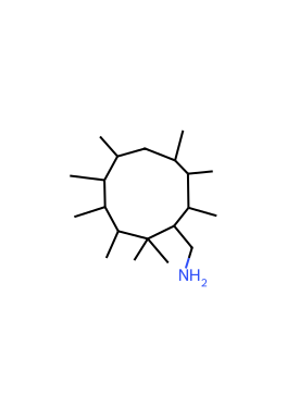 CC1CC(C)C(C)C(C)C(CN)C(C)(C)C(C)C(C)C1C